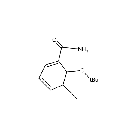 CC1C=CC=C(C(N)=O)C1OC(C)(C)C